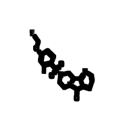 Cc1cc(OCF)ccc1S(=O)(=O)N1CCN2C(=O)c3cccnc3C2C1